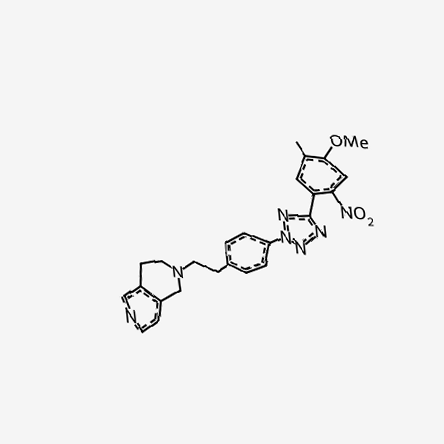 COc1cc([N+](=O)[O-])c(-c2nnn(-c3ccc(CCN4CCc5cnccc5C4)cc3)n2)cc1C